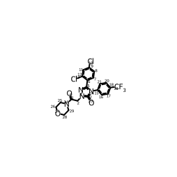 O=C(Cn1nc(-c2ccc(Cl)cc2Cl)n(-c2ccc(C(F)(F)F)cc2)c1=O)N1CCOCC1